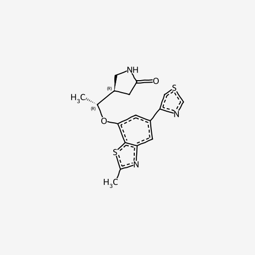 Cc1nc2cc(-c3cscn3)cc(O[C@H](C)[C@H]3CNC(=O)C3)c2s1